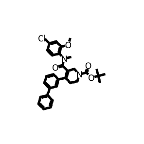 COc1cc(Cl)ccc1N(C)C(=O)C1=C(c2cccc(-c3ccccc3)c2)CCN(C(=O)OC(C)(C)C)C1